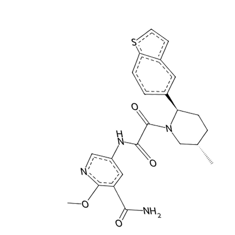 COc1ncc(NC(=O)C(=O)N2C[C@@H](C)CC[C@@H]2c2ccc3sccc3c2)cc1C(N)=O